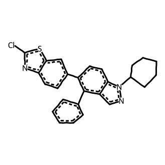 Clc1nc2ccc(-c3ccc4c(cnn4C4CCCCC4)c3-c3ccccc3)cc2s1